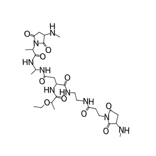 CCOC(C)C(=O)NC(CC(=O)NC(C)NC(=O)C(C)N1C(=O)CC(NC)C1=O)C(=O)NCCNC(=O)CCN1C(=O)CC(NC)C1=O